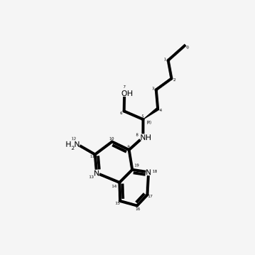 CCCCC[C@H](CO)Nc1cc(N)nc2cccnc12